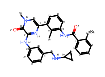 CCCCc1ccccc1C(=O)Nc1cccc(-c2cn(C)c(=O)c(Nc3cccc(CNC4CC4)c3)n2)c1C